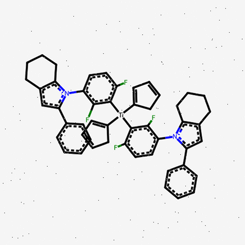 Fc1ccc(-n2c(-c3ccccc3)cc3c2CCCC3)c(F)[c]1[Ti]([C]1=CC=CC1)([C]1=CC=CC1)[c]1c(F)ccc(-n2c(-c3ccccc3)cc3c2CCCC3)c1F